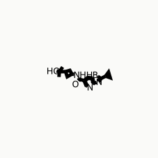 CC(C)(O)C1CC(NC(=O)c2cnc3c(c2)BC(C2CC2)=N3)C1